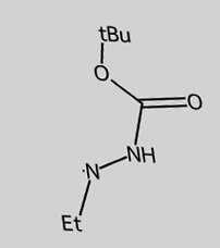 CC[N]NC(=O)OC(C)(C)C